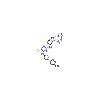 CC(C)(O)Cc1cn2ccc(Nc3ncc(Cl)c(NC4CCN(c5ccc(C#N)nn5)CC4)n3)cc2n1